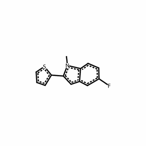 Cn1c(-c2cccs2)cc2cc(F)ccc21